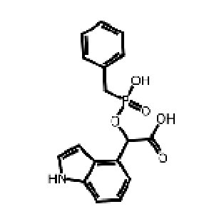 O=C(O)C(OP(=O)(O)Cc1ccccc1)c1cccc2[nH]ccc12